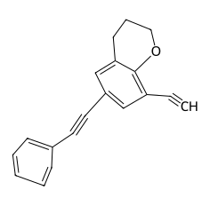 C#Cc1cc(C#Cc2ccccc2)cc2c1OCCC2